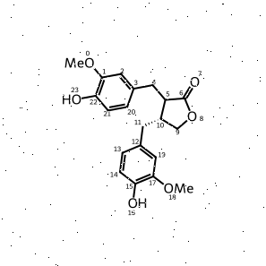 COc1cc(CC2C(=O)OC[C@@H]2Cc2ccc(O)c(OC)c2)ccc1O